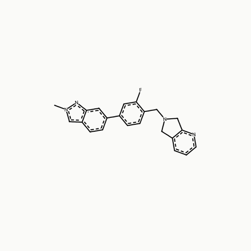 Cn1cc2ccc(-c3ccc(CN4Cc5cccnc5C4)c(F)c3)cc2n1